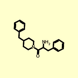 NC(Cc1ccccc1)C(=O)N1CCC(Cc2ccccc2)CC1